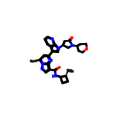 CNc1cc(-c2cn([C@H]3CC(=O)N(C4CCOCC4)C3)c3ncccc23)nc2c(C(=O)NC3CC[C@H]3OC)cnn12